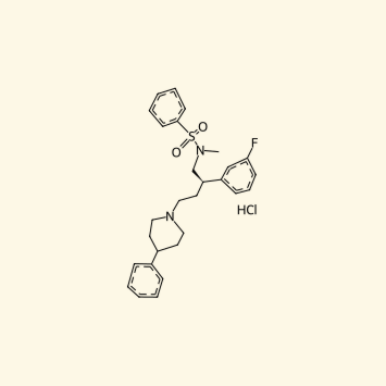 CN(C[C@H](CCN1CCC(c2ccccc2)CC1)c1cccc(F)c1)S(=O)(=O)c1ccccc1.Cl